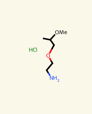 COC(C)COCCN.Cl